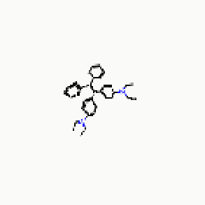 CCN(CC)c1ccc(/C(C2=CCC(N(CC)CC)C=C2)=C(\c2ccccc2)C2C=CC=CC2)cc1